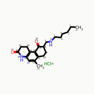 CCCCCCNCC1CCc2c(C)cc3c(c2C1=O)CCC(=O)N3.Cl